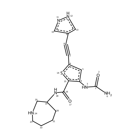 NC(=O)Nc1cc(C#Cc2cn[nH]c2)sc1C(=O)NC1CCCCNC1